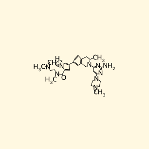 CC1Cc2ccc(-c3cc(C(=O)N(C)CCN(C)C)n(C)c3)cc2CN1c1cc(N2CCN(C)CC2)nc(N)n1